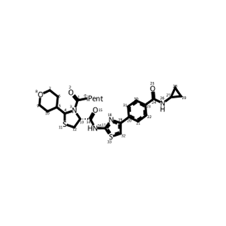 CCCC(C)C(=O)N1C(C2CCOCC2)SC[C@H]1C(=O)Nc1nc(-c2ccc(C(=O)NC3CC3)cc2)cs1